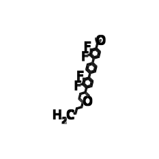 C=CCCC1CCC(c2ccc(-c3ccc(-c4ccc(C5CO5)c(F)c4F)cc3)c(F)c2F)CO1